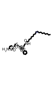 CCCCCCCC/C=C\CCCCCCCC(=O)NCCNP(=O)(OC[C@@H]1OC(n2ccc(N)nc2=O)CS1)Oc1ccccc1